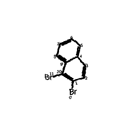 Brc1c[c]c2ccccc2c1Br